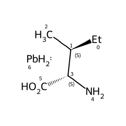 CC[C@H](C)[C@H](N)C(=O)O.[PbH2]